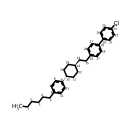 CCCCCCc1ccc([C@H]2CC[C@H](CCc3ccc(-c4ccc(Cl)cc4)cc3)CC2)cc1